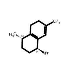 CC1=CC2=C(CC1)[C@@H](C)CC[C@@H]2C(C)C